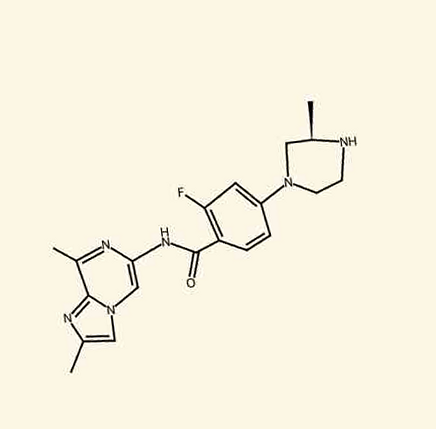 Cc1cn2cc(NC(=O)c3ccc(N4CCN[C@H](C)C4)cc3F)nc(C)c2n1